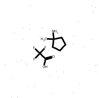 CC1(N)CCCC1.O=C(O)C(F)(F)F